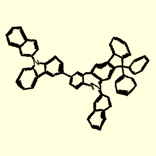 c1ccc(C2(c3ccccc3)c3ccccc3-c3cc4c5cc(-c6ccc7c(c6)c6ccccc6n7-c6ccc7ccccc7c6)ccc5n(-c5ccc6ccccc6c5)c4cc32)cc1